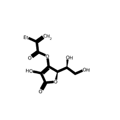 C=C(CC)C(=O)OC1=C(O)C(=O)O[C@@H]1[C@@H](O)CO